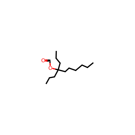 CCCCCCC(CCC)(CCC)OC=O